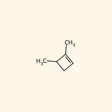 CC1=CCC1C